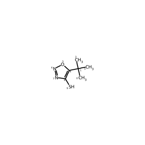 CC(C)(C)c1onnc1S